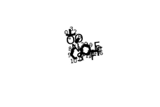 CC(C)(C)OC(=O)N1C=CCSc2cc(C(F)(F)F)ccc21